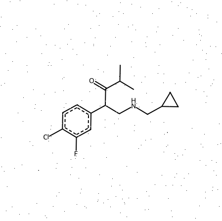 CC(C)C(=O)C(CNCC1CC1)c1ccc(Cl)c(F)c1